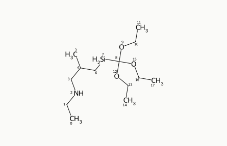 CCNCC(C)C[SiH2]C(OCC)(OCC)OCC